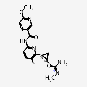 C/N=C(/N)O[C@@H]1C[C@@H]1c1nc(NC(=O)c2cnc(OC)cn2)ccc1F